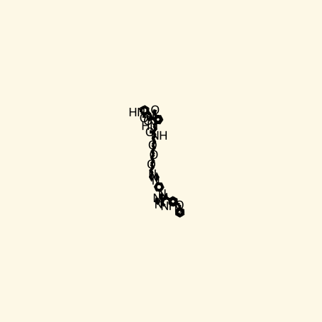 Nc1ncnc2c1c(-c1ccc(Oc3ccccc3)cc1)cn2[C@H]1CC[C@@H](N2CCN(CCOCCOCCOCCNC(=O)CNc3cccc4c3C(=O)N(C3CCCNC3=O)C4=O)CC2)CC1